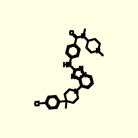 CN1CCC(N(C)C(=O)c2ccc(Nc3nc4c(N5CCC(C)(c6ccc(Cl)cc6)CC5)cccn4n3)cc2)CC1